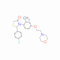 Cc1cc(OCCN2CCOCC2)ccc1N1C(=O)CSC1c1ccc(F)cc1